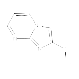 CC(C)Oc1cn2cccnc2n1